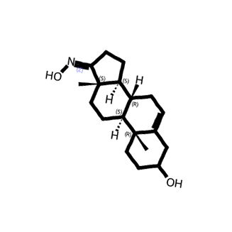 C[C@]12CCC(O)CC1=CC[C@@H]1[C@@H]2CC[C@]2(C)/C(=N\O)CC[C@@H]12